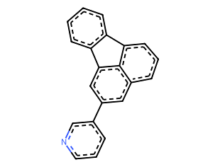 c1cncc(-c2cc3c4c(cccc4c2)-c2ccccc2-3)c1